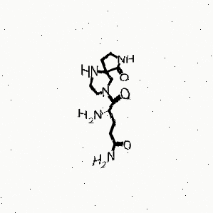 NC(=O)CC[C@H](N)C(=O)N1CCNC2(CCNC2=O)C1